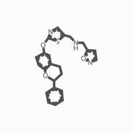 c1ccc(C2CCc3cc(Oc4ncc(CNCc5ccno5)s4)ccc3O2)cc1